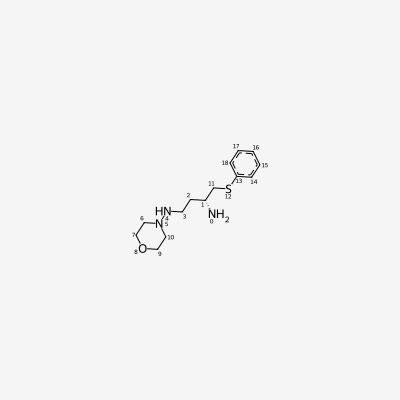 N[C@H](CCNN1CCOCC1)CSc1ccccc1